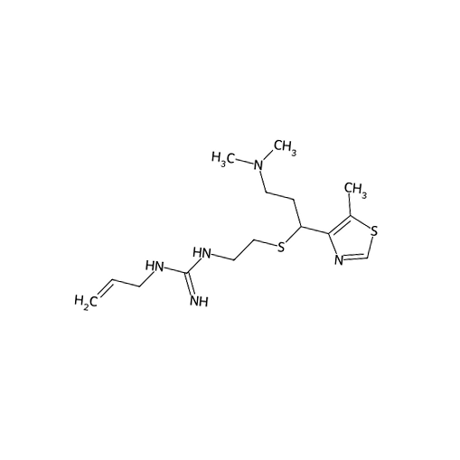 C=CCNC(=N)NCCSC(CCN(C)C)c1ncsc1C